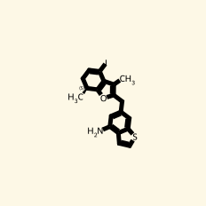 Cc1c(Cc2cc(N)c3ccsc3c2)oc2c1C(I)=CC[C@@H]2C